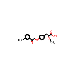 CCO[C@@H](Cc1ccc(OCC(=O)c2cccc(C)c2)cc1)C(=O)O